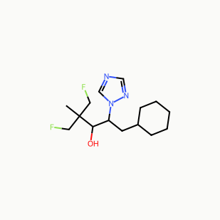 CC(CF)(CF)C(O)C(CC1CCCCC1)n1cncn1